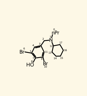 CCCN(Cc1cc(Br)c(O)c(Br)c1)C1CCCCC1